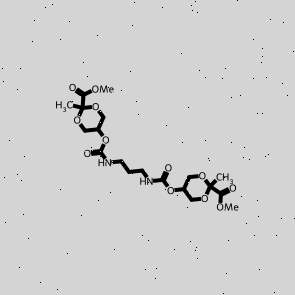 COC(=O)C1(C)OCC(OC(=O)NCCCNC(=O)OC2COC(C)(C(=O)OC)OC2)CO1